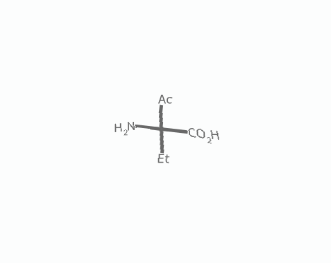 CCC(N)(C(C)=O)C(=O)O